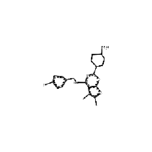 Cc1sc2nc(C3CCC(C(=O)O)CC3)nc(NCc3ccc(F)cc3)c2c1C